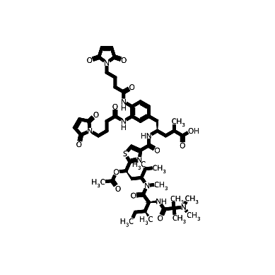 CC[C@H](C)[C@H](NC(=O)C(C)(C)N(C)C)C(=O)N(C)C(C[C@@H](OC(C)=O)c1nc(C(=O)N[C@@H](Cc2ccc(NC(=O)CCCN3C(=O)C=CC3=O)c(NC(=O)CCCN3C(=O)C=CC3=O)c2)CC(C)C(=O)O)cs1)C(C)C